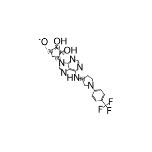 COC[C@H]1C[C@@H](n2cnc3c(N[C@H]4CCN(c5ccc(C(F)(F)F)cc5)C4)ncnc32)[C@@H](O)[C@H]1O